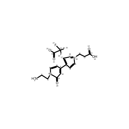 NCCn1ccc(-c2cc[n+](CCC(=O)O)nc2)cc1=O.O=C([O-])C(F)(F)F